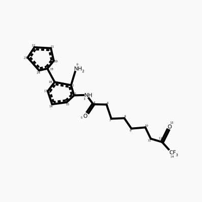 Nc1c(NC(=O)CCCCCCC(=O)C(F)(F)F)cccc1-c1ccccc1